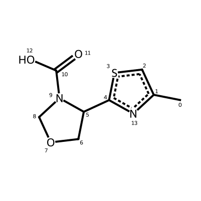 Cc1csc(C2COCN2C(=O)O)n1